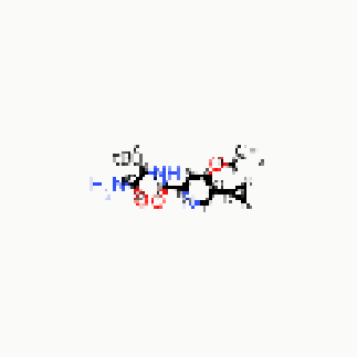 CC(C)(C)C(NC(=O)c1cc(OCC(F)(F)F)c(C2CC2)cn1)C(N)=O